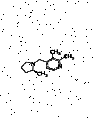 Cc1nccc(CN2CCC[C@@H]2C)c1C